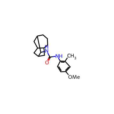 COc1ccc(NC(=O)NC2C3CCCC4CC2CC4C3)c(C)c1